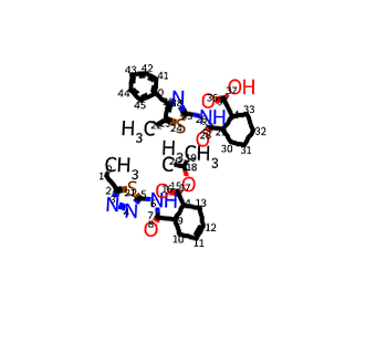 CCc1nnc(NC(=O)C2CC=CCC2C(=O)OC(C)C)s1.Cc1sc(NC(=O)C2CCCCC2C(=O)O)nc1-c1ccccc1